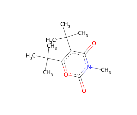 Cn1c(=O)oc(C(C)(C)C)c(C(C)(C)C)c1=O